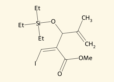 C=C(C)C(O[Si](CC)(CC)CC)C(=CI)C(=O)OC